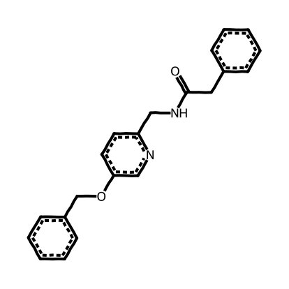 O=C(Cc1ccccc1)NCc1ccc(OCc2ccccc2)cn1